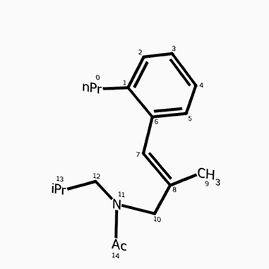 CCCc1ccccc1/C=C(\C)CN(CC(C)C)C(C)=O